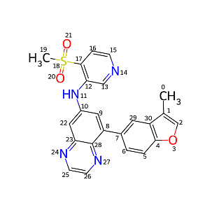 Cc1coc2ccc(-c3cc(Nc4cnccc4S(C)(=O)=O)cc4nccnc34)cc12